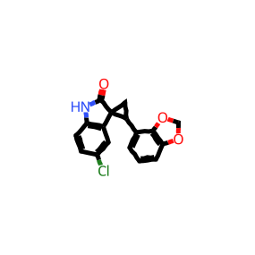 O=C1Nc2ccc(Cl)cc2C12CC2c1cccc2c1OCO2